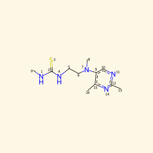 CNC(=S)NCCN(C)c1cnc(C)nc1C